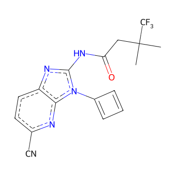 CC(C)(CC(=O)Nc1nc2ccc(C#N)nc2n1C1=CC=C1)C(F)(F)F